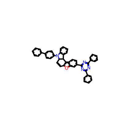 C1=CC2C(c3ccccc3N2c2ccc(-c3ccccc3)cc2)c2c1oc1cc(-c3nc(-c4ccccc4)nc(-c4ccccc4)n3)ccc21